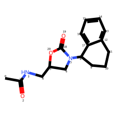 CC(=O)NCC1CN(C2CCCc3ccccc32)C(=O)O1